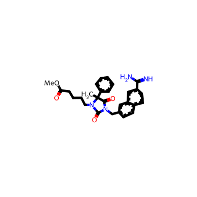 COC(=O)CCCCN1C(=O)N(Cc2ccc3ccc(C(=N)N)cc3c2)C(=O)C1(C)c1ccccc1